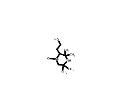 CC1(C)C[NH+]([O-])C(CCO)C(C)(C)N1